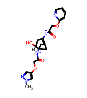 Cn1cc(OCC(=O)NC23CC(=C(NC(=O)COc4ccccn4)C[C@@H]2O)C3)cn1